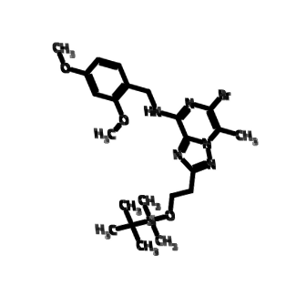 COc1ccc(CNc2nc(Br)c(C)n3nc(CCO[Si](C)(C)C(C)(C)C)nc23)c(OC)c1